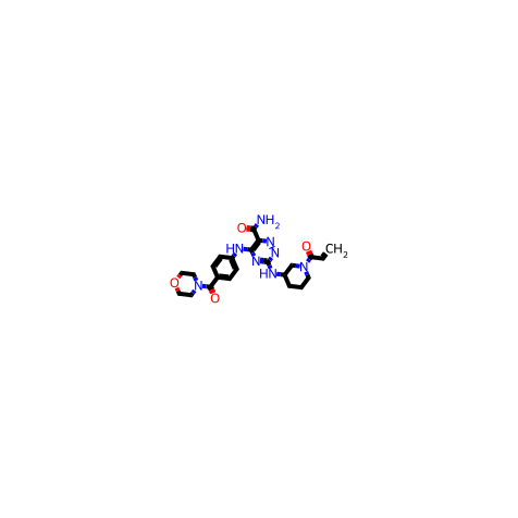 C=CC(=O)N1CCCC(Nc2nnc(C(N)=O)c(Nc3ccc(C(=O)N4CCOCC4)cc3)n2)C1